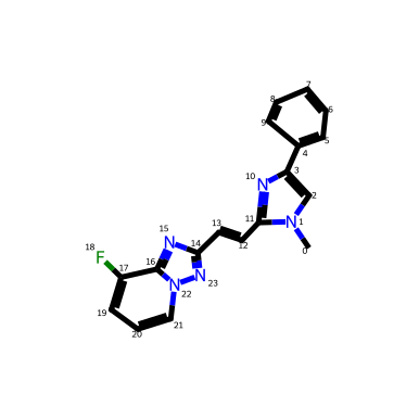 Cn1cc(-c2ccccc2)nc1/C=C/c1nc2c(F)cccn2n1